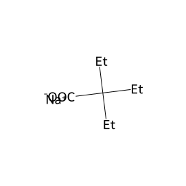 CCC(CC)(CC)C(=O)[O-].[Na+]